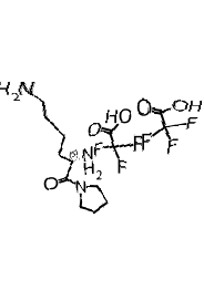 NCCCC[C@H](N)C(=O)N1CCCC1.O=C(O)C(F)(F)F.O=C(O)C(F)(F)F